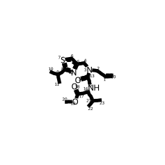 C=CCN(Cc1csc(C(C)C)n1)C(=O)N[C@H](C(=O)OC)C(C)C